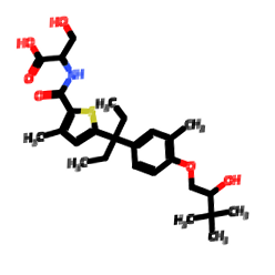 CCC(CC)(c1ccc(OCC(O)C(C)(C)C)c(C)c1)c1cc(C)c(C(=O)NC(CO)C(=O)O)s1